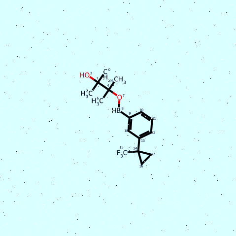 CC(C)(O)C(C)(C)OBc1cccc(C2(C(F)(F)F)CC2)c1